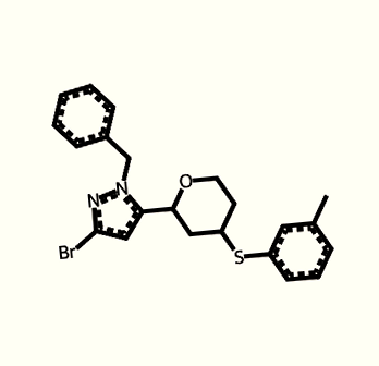 Cc1cccc(SC2CCOC(c3cc(Br)nn3Cc3ccccc3)C2)c1